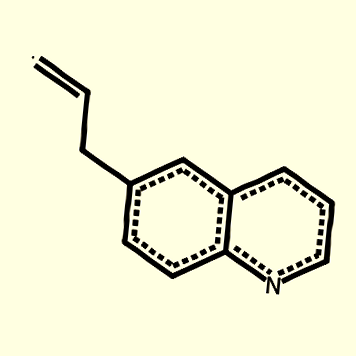 [CH]=CCc1ccc2ncccc2c1